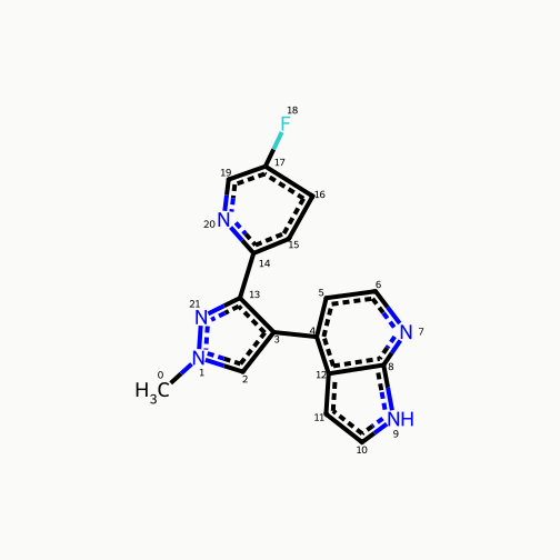 Cn1cc(-c2ccnc3[nH]ccc23)c(-c2ccc(F)cn2)n1